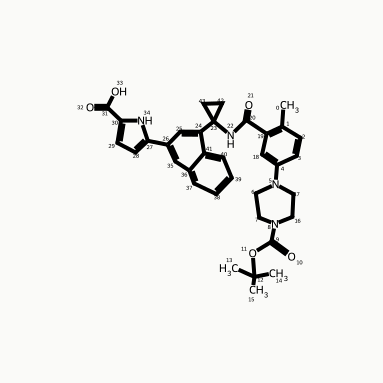 Cc1ccc(N2CCN(C(=O)OC(C)(C)C)CC2)cc1C(=O)NC1(c2cc(-c3ccc(C(=O)O)[nH]3)cc3ccccc23)CC1